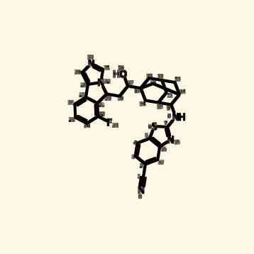 N#Cc1ccc2sc(NC3C4CC5CC3CC(C(O)CC3c6c(F)cccc6-c6cncn63)(C5)C4)nc2c1